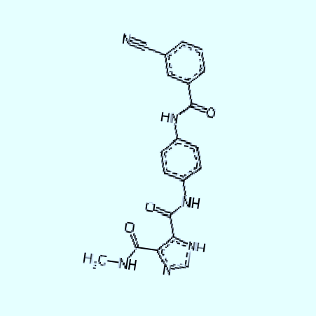 CNC(=O)c1nc[nH]c1C(=O)Nc1ccc(NC(=O)c2cccc(C#N)c2)cc1